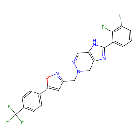 Fc1cccc(-c2nc3c([nH]2)C=NN(Cc2cc(-c4ccc(C(F)(F)F)cc4)on2)C3)c1F